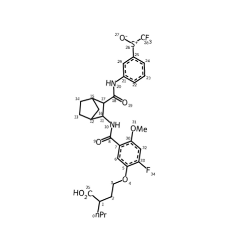 CCCC(CCOc1cc(C(=O)NC2C3CCC(C3)C2C(=O)Nc2cccc([S+]([O-])C(F)(F)F)c2)c(OC)cc1F)C(=O)O